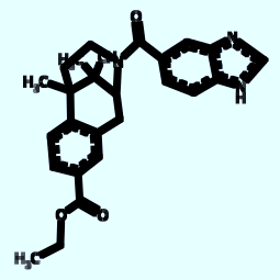 CCOC(=O)c1ccc2c(c1)CC1N(C(=O)c3ccc4[nH]cnc4c3)CCC2(C)C1(C)C